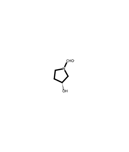 O=[C]N1CC[C@@H](O)C1